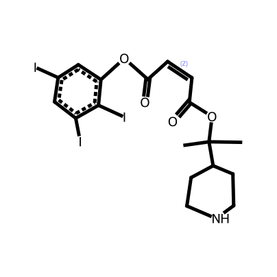 CC(C)(OC(=O)/C=C\C(=O)Oc1cc(I)cc(I)c1I)C1CCNCC1